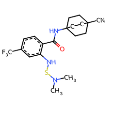 CN(C)SNc1cc(C(F)(F)F)ccc1C(=O)NC12CCC(C#N)(CC1)CC2